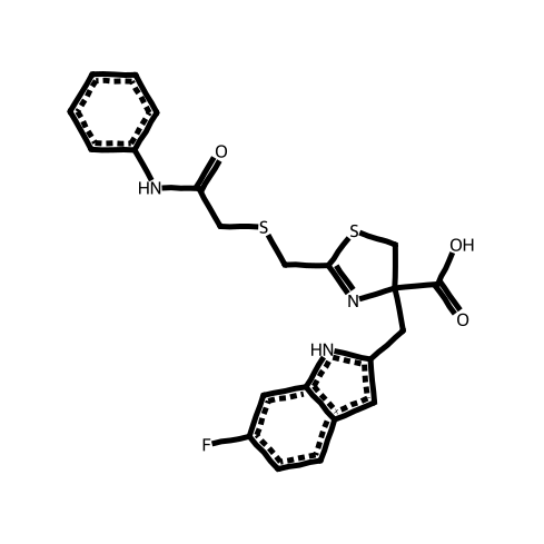 O=C(CSCC1=NC(Cc2cc3ccc(F)cc3[nH]2)(C(=O)O)CS1)Nc1ccccc1